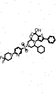 O=C(O)c1sc(-c2ccccc2)cc1N1C(=O)CN(S(=O)(=O)c2ccc(N3CCC(F)(F)CC3)nc2)CC1C1CCCCC1